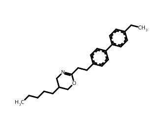 CCCCCC1CN=C(CCc2ccc(-c3ccc(CC)cc3)cc2)OC1